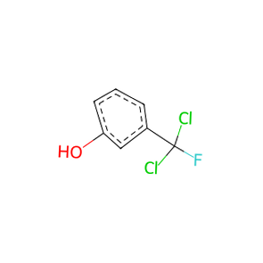 Oc1cccc(C(F)(Cl)Cl)c1